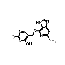 Nc1nc(SCc2cnc(O)nc2O)c2[nH]cnc2n1